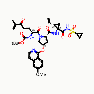 C=C[C@@H]1C[C@]1(NC(=O)[C@@H]1C[C@@H](Oc2nccc3cc(OC)ccc23)CN1C(=O)[C@H](CCC(=O)C(=C)C)NC(=O)OC(C)(C)C)C(=O)NS(=O)(=O)C1CC1